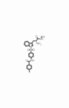 Cc1ccc(C(=O)Nc2ccc(S(=O)(=O)n3cc(C[C@@H](N)C(=O)NO)c4ccccc43)cc2)cc1